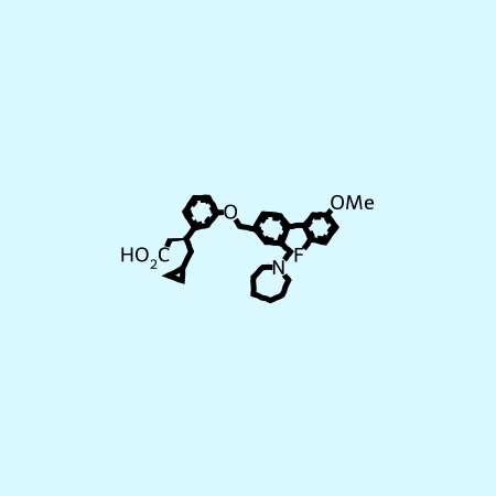 COc1ccc(F)c(-c2ccc(COc3cccc([C@H](CC(=O)O)CC4CC4)c3)cc2CN2CCCCCC2)c1